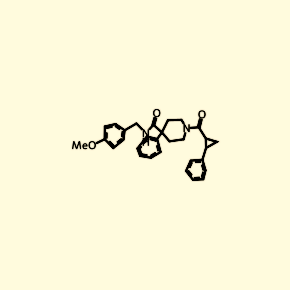 COc1ccc(CNC(=O)C2(c3ccccc3)CCN(C(=O)C3CC3c3ccccc3)CC2)cc1